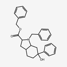 O=C(OCc1ccccc1)C1CC2CCC(O)(c3ccccc3)CC2N1Cc1ccccc1